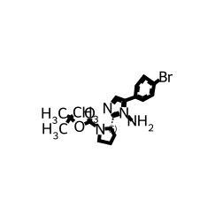 CC(C)(C)OC(=O)N1CCC[C@H]1c1ncc(-c2ccc(Br)cc2)n1N